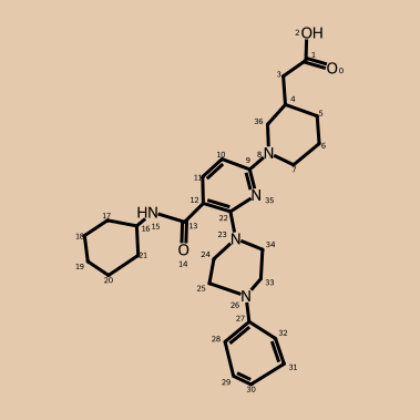 O=C(O)CC1CCCN(c2ccc(C(=O)NC3CCCCC3)c(N3CCN(c4ccccc4)CC3)n2)C1